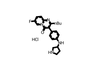 CCCCc1nc2ccc(F)cn2c(=O)c1-c1ccc(NC2CCNC2)cc1.Cl